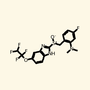 CN(C)c1cc(F)ccc1C[S+]([O-])c1nc2cc(OC(F)(F)C(F)F)ccc2[nH]1